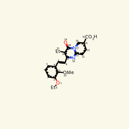 CCOc1cccc(C=Cc2nc3ccc(C(=O)O)cn3c(=O)c2CC)c1OC